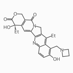 CCc1c2c(nc3ccc(O)c(CN4CCC4)c13)-c1cc3c(c(=O)n1C2)COC(=O)[C@]3(O)CC